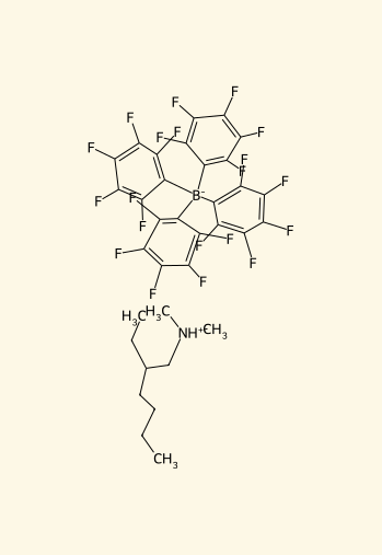 CCCCC(CC)C[NH+](C)C.Fc1c(F)c(F)c([B-](c2c(F)c(F)c(F)c(F)c2F)(c2c(F)c(F)c(F)c(F)c2F)c2c(F)c(F)c(F)c(F)c2F)c(F)c1F